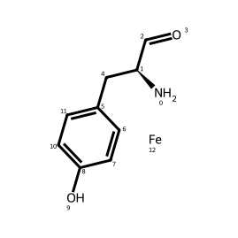 N[C@H](C=O)Cc1ccc(O)cc1.[Fe]